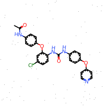 CC(=O)Nc1ccc(Oc2cc(Cl)ccc2NC(=O)Nc2ccc(Oc3ccncc3)cc2)cc1